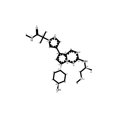 CNC(=O)C(C)(C)n1cc(-c2cc([C@H]3CC[C@H](O)CC3)n3nc(N[C@@H](C)COC)ncc23)cn1